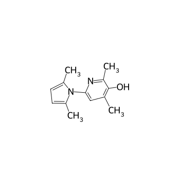 Cc1cc(-n2c(C)ccc2C)nc(C)c1O